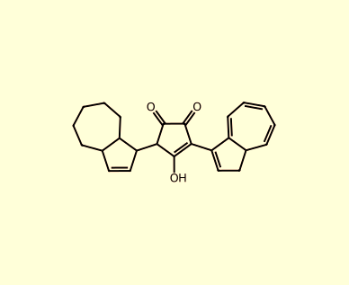 O=C1C(=O)C(C2C=CC3CCCCCC32)C(O)=C1C1=CCC2C=CC=CC=C12